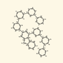 c1ccc(-c2cccc(-c3cccc(-c4cccc(-c5nc(-c6cccc(-c7cccc(-c8ccccc8)c7)c6)c6c(n5)sc5ccccc56)c4)c3)c2)cc1